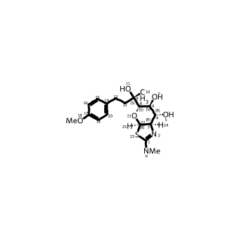 CNC1=N[C@@H]2[C@@H](O)[C@H](O)[C@@H]([C@@](C)(O)CCc3ccc(OC)cc3)O[C@@H]2S1